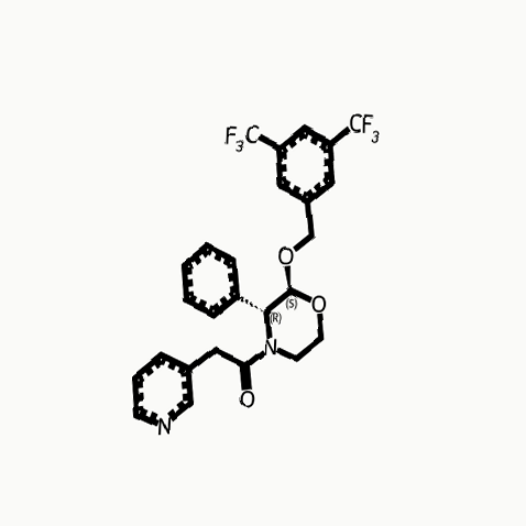 O=C(Cc1cccnc1)N1CCO[C@H](OCc2cc(C(F)(F)F)cc(C(F)(F)F)c2)[C@H]1c1ccccc1